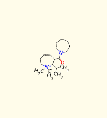 CC(C)C1C(C(=O)N2CCCCCC2)C=CCC[N+]1(C)C